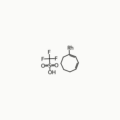 O=S(=O)(O)C(F)(F)F.[Rh][C]1=CC=CCCCC1